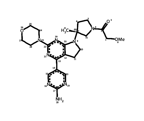 COCC(=O)N1CC[C@@](C)(N2CCc3c(-c4cnc(N)nc4)nc(N4CCOCC4)nc32)C1